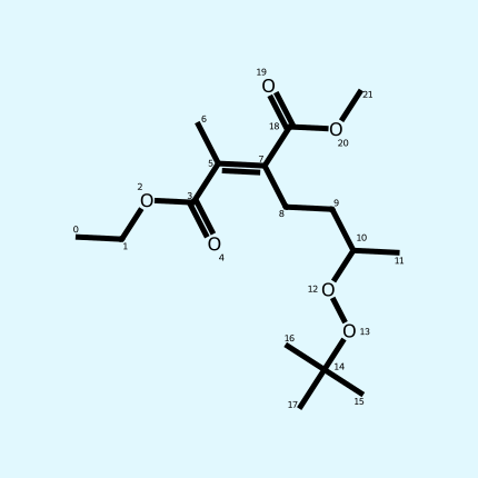 CCOC(=O)/C(C)=C(\CCC(C)OOC(C)(C)C)C(=O)OC